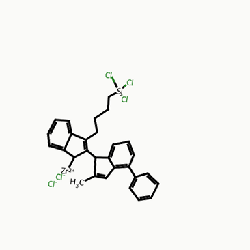 CC1=Cc2c(-c3ccccc3)cccc2C1C1=C(CCCC[Si](Cl)(Cl)Cl)c2ccccc2[CH]1[Zr+2].[Cl-].[Cl-]